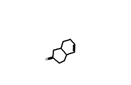 O=C1CCC2C=CCCC2C1